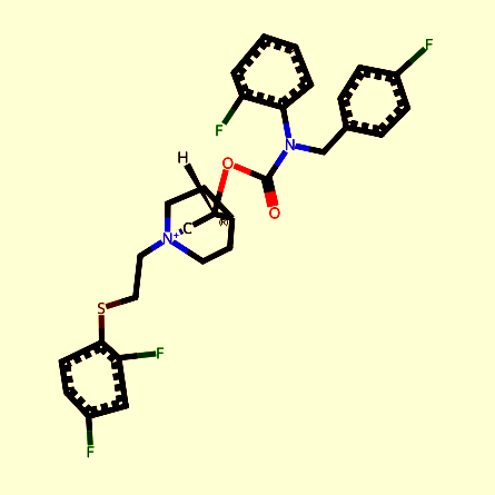 O=C(O[C@H]1C[N+]2(CCSc3ccc(F)cc3F)CCC1CC2)N(Cc1ccc(F)cc1)c1ccccc1F